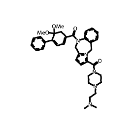 COC1(OC)CC(C(=O)N2Cc3ccc(C(=O)N4CCN(CCN(C)C)CC4)n3Cc3ccccc32)=CC=C1c1ccccc1